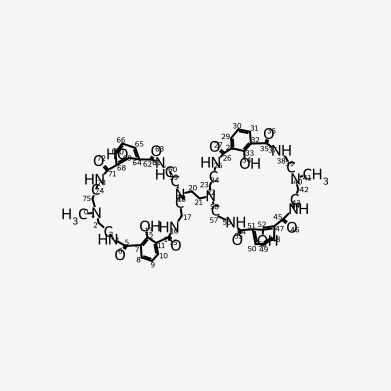 CN1CCNC(=O)c2cccc(c2O)C(=O)NCCN(CCN2CCNC(=O)c3cccc(c3O)C(=O)NCCN(C)CCNC(=O)c3cccc(c3O)C(=O)NCC2)CCNC(=O)c2cccc(c2O)C(=O)NCC1